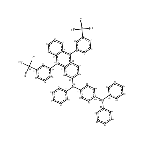 FC(F)(F)c1cccc(-c2c3ccccc3c(-c3cccc(C(F)(F)F)c3)c3cc(N(c4ccccc4)c4ccc(N(c5ccccc5)c5ccccc5)cc4)ccc23)c1